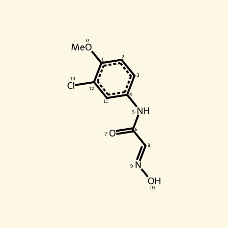 COc1ccc(NC(=O)/C=N/O)cc1Cl